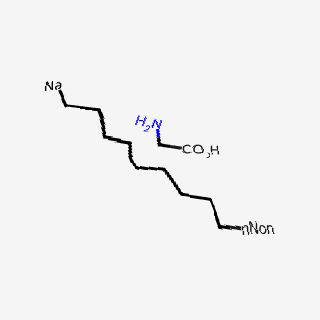 CCCCCCCCCCCCCCCCC[CH2][Na].NCC(=O)O